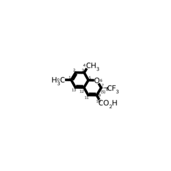 CC1=CC(C)C2O[C@H](C(F)(F)F)C(C(=O)O)=CC2=C1